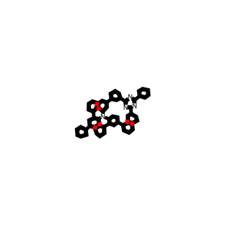 c1ccc(-c2ccc(N(c3cccc(-c4cccc(-c5nc(-c6ccccc6)nc(-c6ccccc6)n5)c4)c3)c3ccc(-c4ccccc4)cc3-c3ccccc3)c(-c3ccccc3)c2)cc1